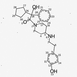 O=C(N1CCC(NCCc2ccc(O)cc2)CC1)C(O)(c1ccccc1)C1CCCC1